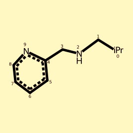 CC(C)CNCc1ccccn1